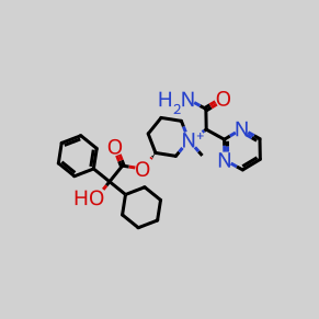 C[N+]1(C(C(N)=O)c2ncccn2)CCC[C@@H](OC(=O)C(O)(c2ccccc2)C2CCCCC2)C1